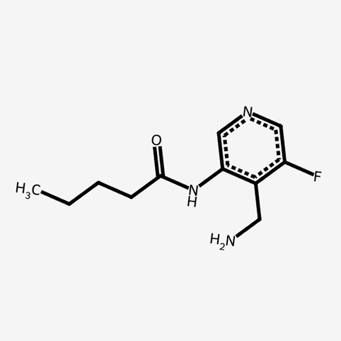 CCCCC(=O)Nc1cncc(F)c1CN